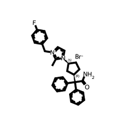 Cc1n([C@H]2CC[C@@H](C(C(N)=O)(c3ccccc3)c3ccccc3)C2)cc[n+]1Cc1ccc(F)cc1.[Br-]